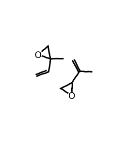 C=C(C)C1CO1.C=CC1(C)CO1